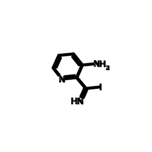 N=C(I)c1ncccc1N